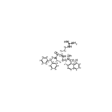 CCCN(C(=O)O)[C@H](Cc1ccc2ccccc2c1)[C@@H]1CCN(CC(c2ccccc2)c2ccccc2)C(=O)[C@H](CCCNC(=N)N)N1